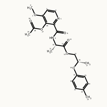 COc1ccnc(C(=O)N[C@@H](C)C(=O)OC[C@H](C)Oc2ccc(C)cc2)c1OC(C)=O